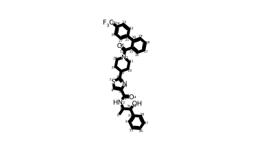 CC(NC(=O)c1csc(C2CCN(C(=O)c3ccccc3-c3ccc(C(F)(F)F)cc3)CC2)n1)C(O)c1ccccc1